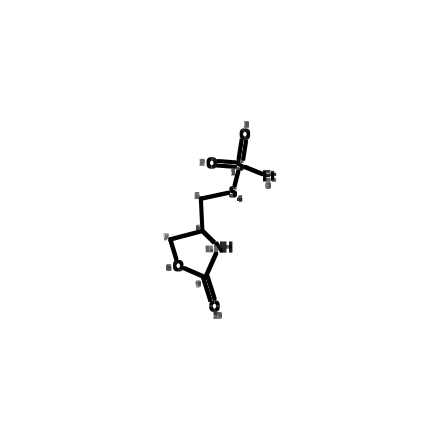 CCS(=O)(=O)SCC1COC(=O)N1